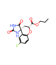 CCCOC(=O)[C@H]1C[C@@]2(NC(=O)NC2=O)c2cc(F)ccc2O1